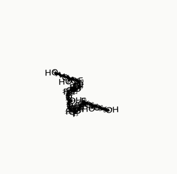 OCCCCOCC(O)COCC(F)(F)OC(F)(F)OC(F)(F)C(F)(F)OC(F)(F)COCC(O)COCC(F)(F)OC(F)(F)OC(F)(F)C(F)(F)OC(F)(F)COCC(O)COCCCCO